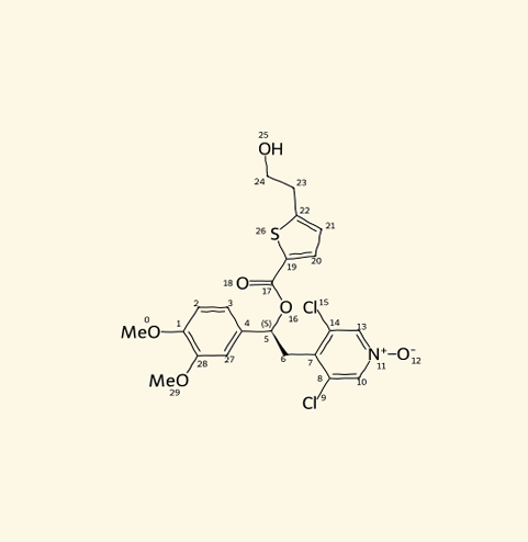 COc1ccc([C@H](Cc2c(Cl)c[n+]([O-])cc2Cl)OC(=O)c2ccc(CCO)s2)cc1OC